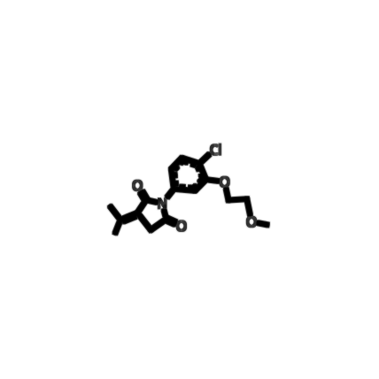 COCCOc1cc(N2C(=O)CC(=C(C)C)C2=O)ccc1Cl